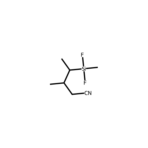 CC(CC#N)C(C)[Si](C)(F)F